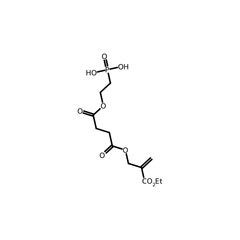 C=C(COC(=O)CCC(=O)OCCP(=O)(O)O)C(=O)OCC